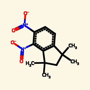 CC1(C)CC(C)(C)c2c1ccc([N+](=O)[O-])c2[N+](=O)[O-]